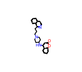 O=c1cc(NC2CCN(CCCc3nccc4ccccc34)CC2)c2ccccc2o1